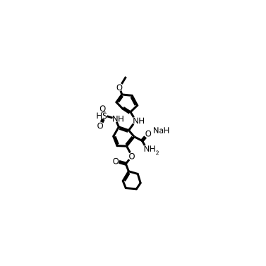 COc1ccc(Nc2c(N[SH](=O)=O)ccc(OC(=O)C3=CCCCC3)c2C(N)=O)cc1.[NaH]